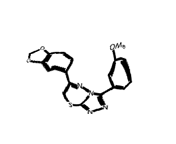 COc1cccc(-c2nnc3n2N=C(c2ccc4c(c2)OCO4)CS3)c1